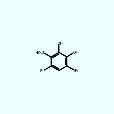 CC(C)c1cc(C(C)C)c(S(=O)(=O)O)c(O)c1O